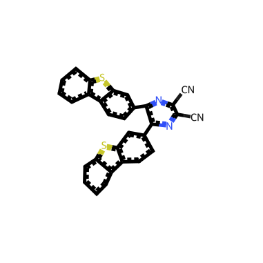 N#Cc1nc(-c2ccc3c(c2)sc2ccccc23)c(-c2ccc3c(c2)sc2ccccc23)nc1C#N